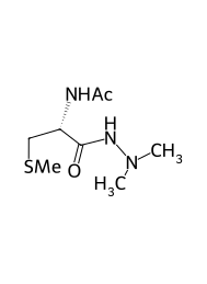 CSC[C@H](NC(C)=O)C(=O)NN(C)C